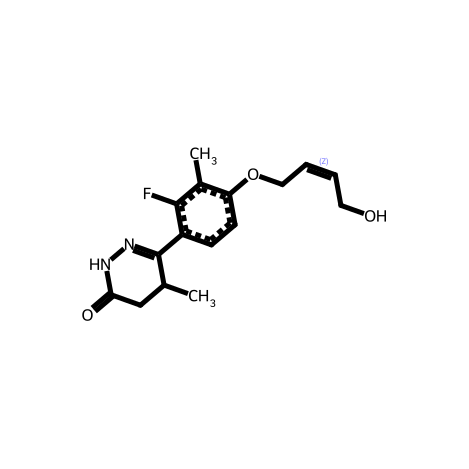 Cc1c(OC/C=C\CO)ccc(C2=NNC(=O)CC2C)c1F